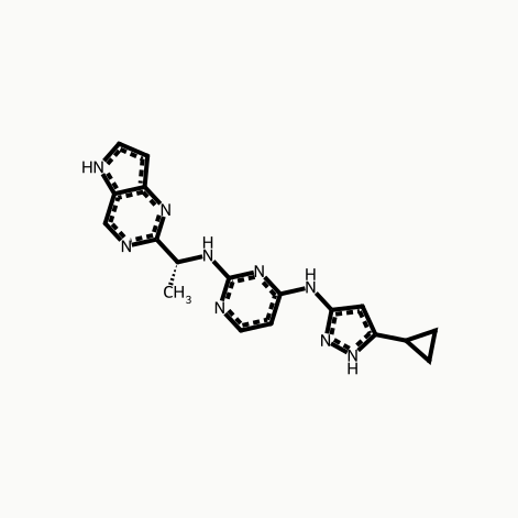 C[C@@H](Nc1nccc(Nc2cc(C3CC3)[nH]n2)n1)c1ncc2[nH]ccc2n1